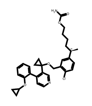 C[C@H](CCCCOC(N)=O)c1ccc(Cl)c(COC2(c3cnccc3-c3ccccc3OC3CC3)CC2)c1